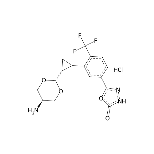 Cl.N[C@H]1CO[C@H](C2CC2c2cc(-c3n[nH]c(=O)o3)ccc2C(F)(F)F)OC1